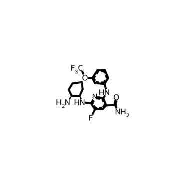 NC(=O)c1cc(F)c(N[C@@H]2CCCC[C@@H]2N)nc1Nc1cccc(OC(F)(F)F)c1